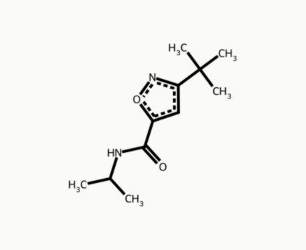 CC(C)NC(=O)c1cc(C(C)(C)C)no1